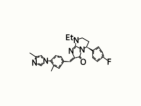 CCN1CC[C@@H](c2ccc(F)cc2)N2C(=O)/C(=C/c3ccc(-n4cnc(C)c4)c(C)c3)N=C12